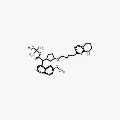 COc1cnc2cccc(C(C(=O)OC(C)(C)C)N3CCC(OCCCCc4ccc5c(n4)NCCC5)C3)c2c1